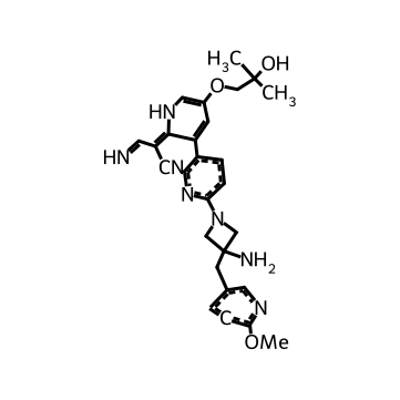 COc1ccc(CC2(N)CN(c3ccc(C4=CC(OCC(C)(C)O)=CN/C4=C(/C#N)C=N)cn3)C2)cn1